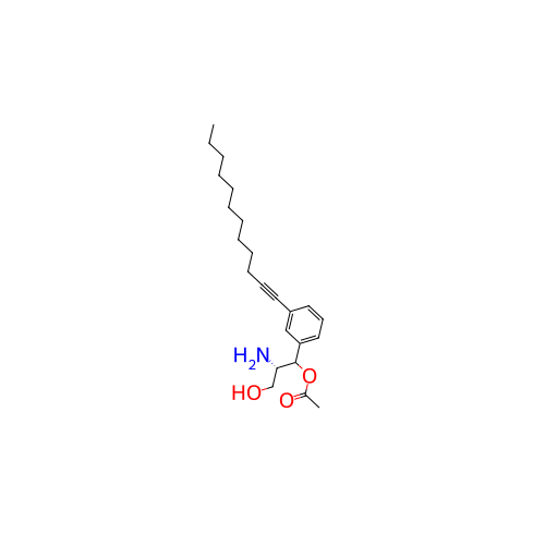 CCCCCCCCCCC#Cc1cccc(C(OC(C)=O)[C@@H](N)CO)c1